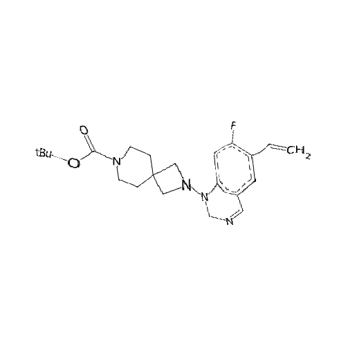 C=Cc1cc2c(cc1F)N(N1CC3(CCN(C(=O)OC(C)(C)C)CC3)C1)CN=C2